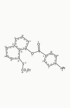 CCCc1ccc(C(=O)Oc2cccc3cccc(SC(=O)OCC)c23)cc1